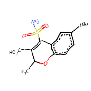 CC(C)(C)c1ccc2c(c1)C(S(N)(=O)=O)=C(C(=O)O)C(C(F)(F)F)O2